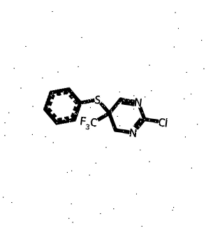 FC(F)(F)C1(Sc2ccccc2)C=NC(Cl)=NC1